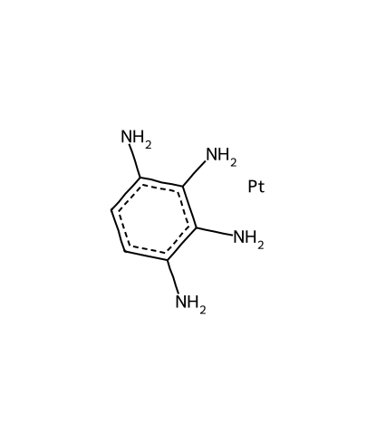 Nc1ccc(N)c(N)c1N.[Pt]